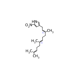 CC(C)=CCC/C(C)=C/CC/C(C)=C/Cc1c[nH]c([N+](=O)[O-])c1